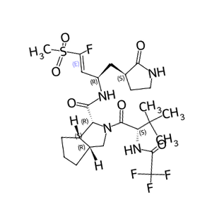 CC(C)(C)[C@H](NC(=O)C(F)(F)F)C(=O)N1C[C@@H]2CCC[C@@H]2[C@@H]1C(=O)N[C@@H](/C=C(\F)S(C)(=O)=O)C[C@@H]1CCNC1=O